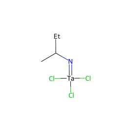 CCC(C)[N]=[Ta]([Cl])([Cl])[Cl]